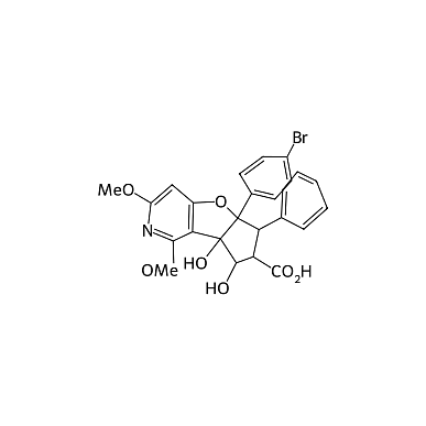 COc1cc2c(c(OC)n1)C1(O)C(O)C(C(=O)O)C(c3ccccc3)C1(c1ccc(Br)cc1)O2